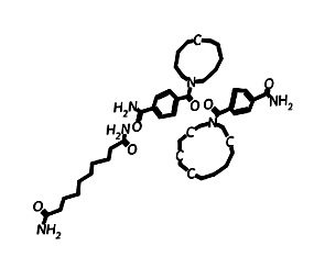 NC(=O)CCCCCCCCC(N)=O.NC(=O)c1ccc(C(=O)N2CCCCCCCCCC2)cc1.NC(=O)c1ccc(C(=O)N2CCCCCCCCCCCC2)cc1